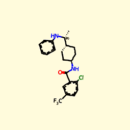 C[C@@H](Nc1ccccc1)[C@H]1CC[C@H](NC(=O)c2cc(C(F)(F)F)ccc2Cl)CC1